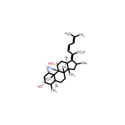 CC(=O)OC1CC2(C)[C@@H](C[C@@H](O)[C@H]3C4(C)[C@H](N)C[C@@H](O)C(C)[C@@H]4CCC32C)/C1=C(\C=C/C=C(C)C)C(=O)O